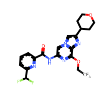 O=C(Nc1cn2cc(C3CCOCC3)nc2c(OCC(F)(F)F)n1)c1cccc(C(F)F)n1